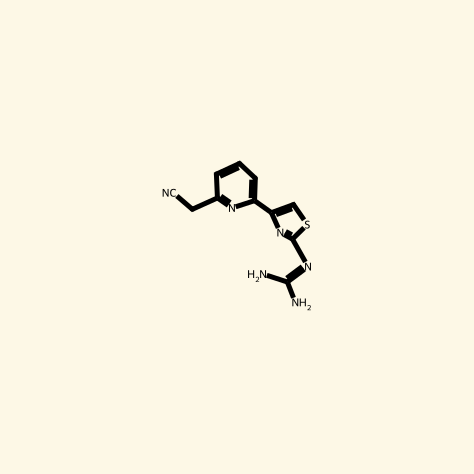 N#CCc1cccc(-c2csc(N=C(N)N)n2)n1